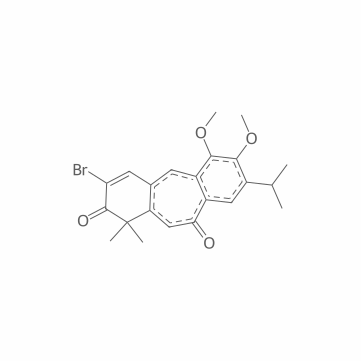 COc1c(C(C)C)cc2c(=O)cc3c(cc2c1OC)C=C(Br)C(=O)C3(C)C